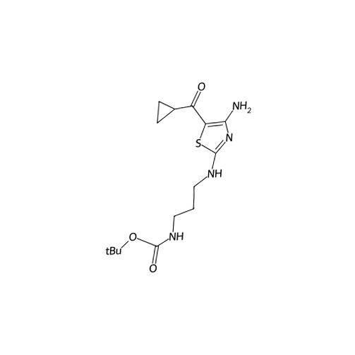 CC(C)(C)OC(=O)NCCCNc1nc(N)c(C(=O)C2CC2)s1